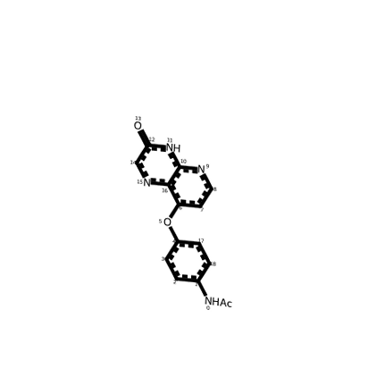 CC(=O)Nc1ccc(Oc2ccnc3[nH]c(=O)cnc23)cc1